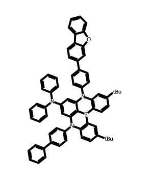 CC(C)(C)c1ccc2c(c1)B1c3ccc(C(C)(C)C)cc3N(c3ccc(-c4ccc5c(c4)oc4ccccc45)cc3)c3cc(N(c4ccccc4)c4ccccc4)cc(c31)N2c1ccc(-c2ccccc2)cc1